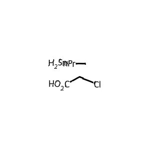 CCCC.O=C(O)CCl.[SnH2]